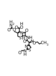 CCCON=C(C(=O)NC1C(=O)N2C(C(=O)O)=C(COC(N)=O)CS[C@@H]12)c1csc(NC=O)n1